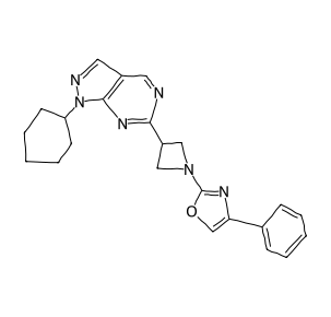 c1ccc(-c2coc(N3CC(c4ncc5cnn(C6CCCCC6)c5n4)C3)n2)cc1